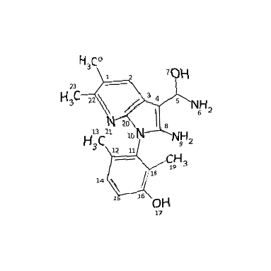 Cc1cc2c(C(N)O)c(N)n(-c3c(C)ccc(O)c3C)c2nc1C